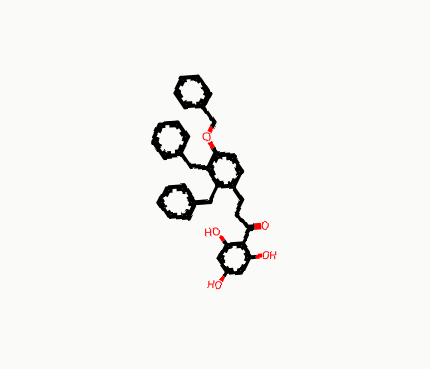 O=C(CCc1ccc(OCc2ccccc2)c(Cc2ccccc2)c1Cc1ccccc1)c1c(O)cc(O)cc1O